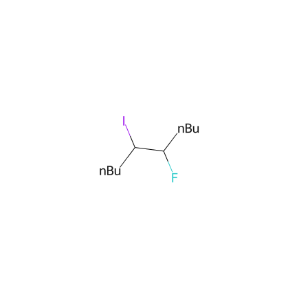 CCCCC(F)C(I)CCCC